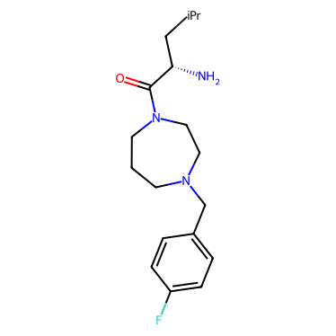 CC(C)C[C@H](N)C(=O)N1CCCN(Cc2ccc(F)cc2)CC1